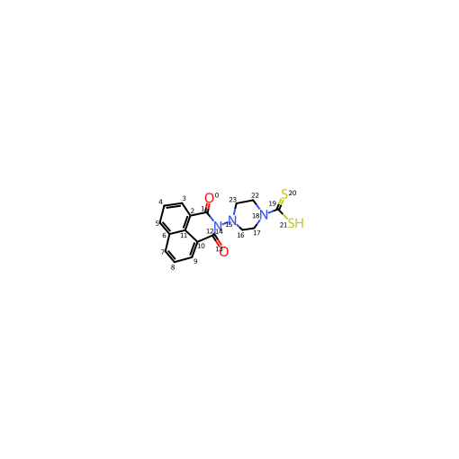 O=C1c2cccc3cccc(c23)C(=O)N1N1CCN(C(=S)S)CC1